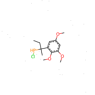 CCC(C)(PCl)c1cc(OC)cc(OC)c1OC